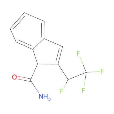 NC(=O)C1C(C(F)C(F)(F)F)=Cc2ccccc21